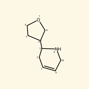 C1=CCC([C]2CCOC2)NC1